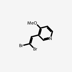 COc1ccncc1C=C(Br)Br